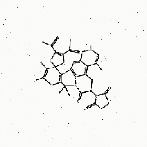 C=C(C)C1=C(C(=C)C)SC2(S1)C(C)=C(C)SC1=C2c2cc3c(c4c2N(C(=O)N(N2C(=O)CCC2=O)C4)C1(C)C)C(C)=CNC3